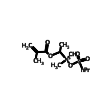 C=C(C)C(=O)OC(C)[N+](C)(C)OS(=O)(=O)CCC